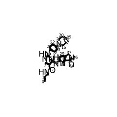 C=CCNC(=O)c1cnc(Nc2ccc(N3CCN(C)CC3)cc2)nc1Nc1ccc2c(n1)C(=O)N(C)C2